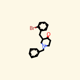 O=C1CCN(Cc2ccccc2)CC1Cc1ccccc1Br